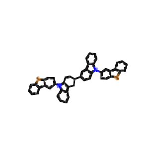 C1=CC(c2ccc3c(c2)c2ccccc2n3-c2ccc3sc4ccccc4c3c2)Cc2c1n(-c1ccc3sc4ccccc4c3c1)c1ccccc21